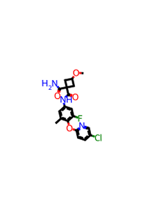 COC1CC(C(N)=O)(C(=O)Nc2cc(C)c(Oc3ccc(Cl)cn3)c(F)c2)C1